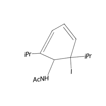 CC(=O)NC1C(C(C)C)=CC=CC1(I)C(C)C